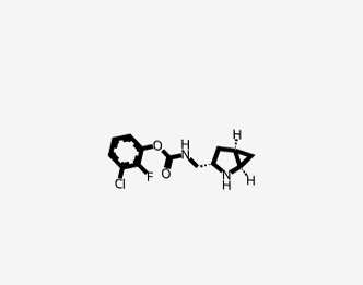 O=C(NC[C@@H]1C[C@H]2C[C@H]2N1)Oc1cccc(Cl)c1F